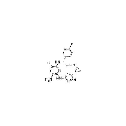 Nc1cc(Cl)c(N[C@@H](CO)c2ccc(F)cc2)nc1Nc1cc(C2CC2)[nH]n1